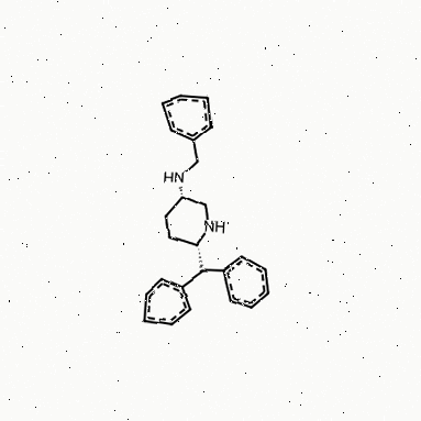 c1ccc(CN[C@H]2CC[C@@H](C(c3ccccc3)c3ccccc3)NC2)cc1